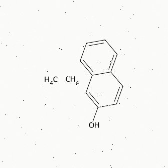 C.C.Oc1ccc2ccccc2c1